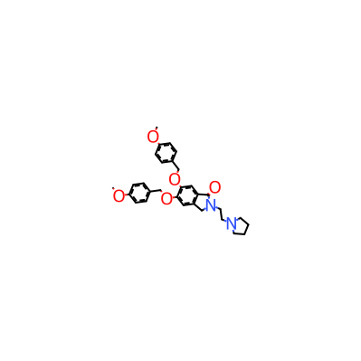 COc1ccc(COc2cc3c(cc2OCc2ccc(OC)cc2)C(=O)N(CCN2CCCC2)C3)cc1